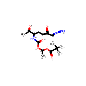 CC(=O)C(CCC(=O)C=[N+]=N)NC(=O)OC(C)OC(=O)C(C)(C)C